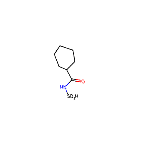 O=C(NS(=O)(=O)O)C1CCCCC1